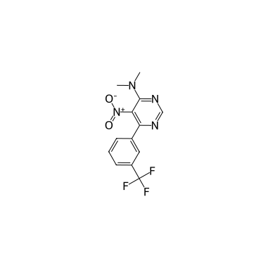 CN(C)c1ncnc(-c2cccc(C(F)(F)F)c2)c1[N+](=O)[O-]